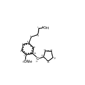 COc1ccc(CCCO)cc1OC1CCCC1